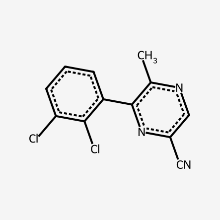 Cc1ncc(C#N)nc1-c1cccc(Cl)c1Cl